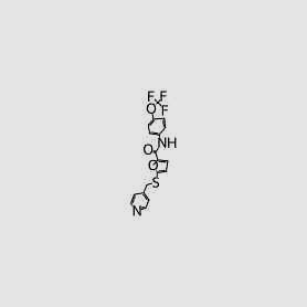 O=C(Nc1ccc(OC(F)(F)F)cc1)c1ccc(SCc2ccncc2)o1